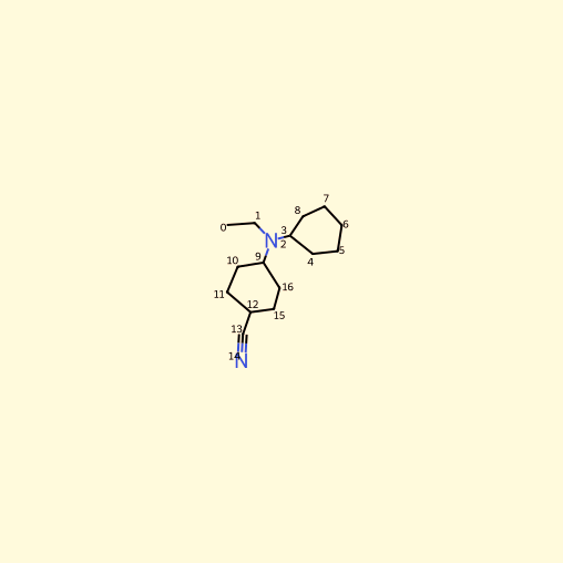 CCN(C1CCCCC1)C1CCC(C#N)CC1